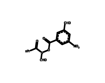 CCCC(=O)N(C=O)OC(=O)c1cc(C=O)cc([N+](=O)[O-])c1